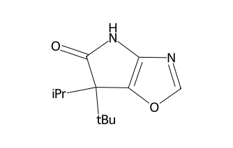 CC(C)C1(C(C)(C)C)C(=O)Nc2ncoc21